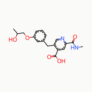 CNC(=O)c1cc(C(=O)O)c(Cc2cccc(OCC(C)O)c2)cn1